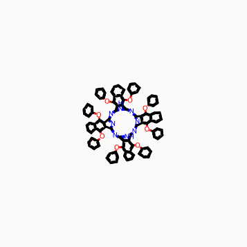 c1ccc(Oc2c3c(c(Oc4ccccc4)c4ccccc24)-c2nc-3nc3[nH]c(nc4nc(nc5[nH]c(n2)c2c(Oc6ccccc6)c6ccccc6c(Oc6ccccc6)c52)-c2c-4c(Oc4ccccc4)c4ccccc4c2Oc2ccccc2)c2c(Oc4ccccc4)c4ccccc4c(Oc4ccccc4)c32)cc1